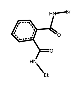 CCNC(=O)c1ccccc1C(=O)NBr